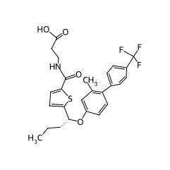 CCC[C@@H](Oc1ccc(-c2ccc(C(F)(F)F)cc2)c(C)c1)c1ccc(C(=O)NCCC(=O)O)s1